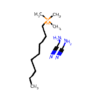 CCCCCCCC[PH](C)(C)C.N#CN.N#CN